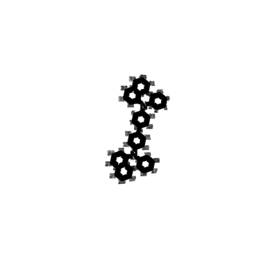 c1ccc(N(c2ccc(-c3ccc(N(c4ccccc4)c4cccc5ccccc45)cc3)cc2)c2cccc3ccccc23)cc1